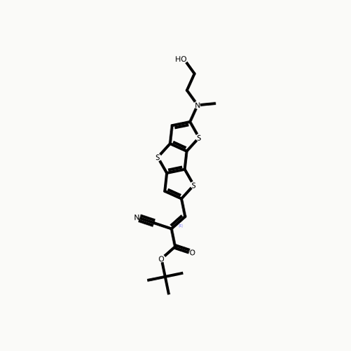 CN(CCO)c1cc2sc3cc(/C=C(\C#N)C(=O)OC(C)(C)C)sc3c2s1